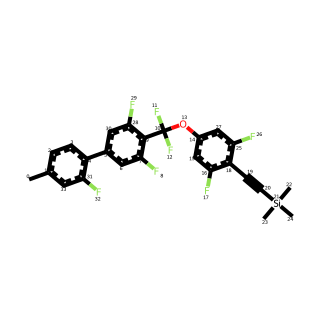 Cc1ccc(-c2cc(F)c(C(F)(F)Oc3cc(F)c(C#C[Si](C)(C)C)c(F)c3)c(F)c2)c(F)c1